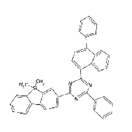 C[Si]1(C)c2ccccc2-c2ccc(-c3nc(-c4ccccc4)nc(-c4ccc(-c5ccccc5)c5ccccc45)n3)cc21